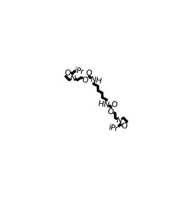 CC(C)C1OCCN1CCOC(=O)NCCCCCCNC(=O)OCCN1CCOC1C(C)C